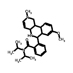 COC1=CC2C(c3ccccc3C(=O)N(C(C)C)C(C)C)NC3C=CN(C)CC3C2C=C1